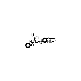 CC(C)N(CCOc1ccc(CC2CSCN2)cc1)c1nc2ccccc2o1